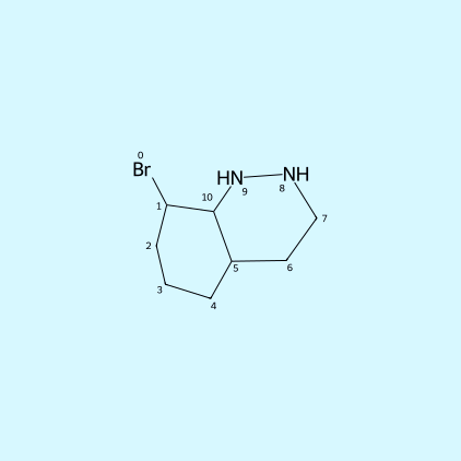 BrC1CCCC2CCNNC12